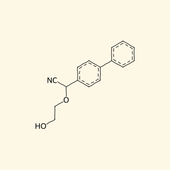 N#CC(OCCO)c1ccc(-c2ccccc2)cc1